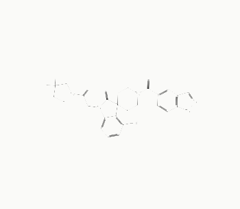 O=C(CN1C(=O)C2(CCN(C(=O)c3ccc4[nH]ncc4c3)CC2)c2c(Br)cccc21)N1CCC(F)(F)C1